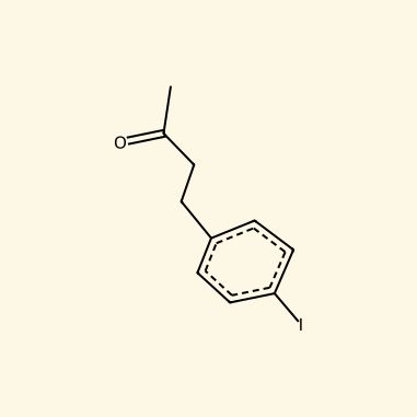 CC(=O)CCc1ccc(I)cc1